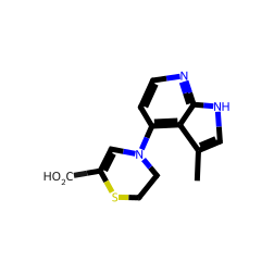 Cc1c[nH]c2nccc(N3C=C(C(=O)O)SCC3)c12